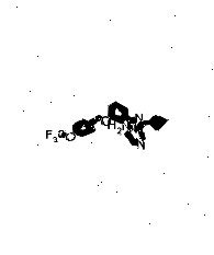 N[N+]12C=CN=CC1=C(C1=CC=C1)N=C2c1cccc(OCc2ccc(OC(F)(F)F)cc2)c1